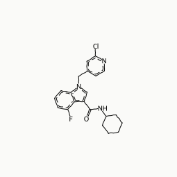 O=C(NC1CCCCC1)c1cn(Cc2ccnc(Cl)c2)c2cccc(F)c12